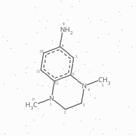 CN1CCN(C)c2cc(N)ccc21